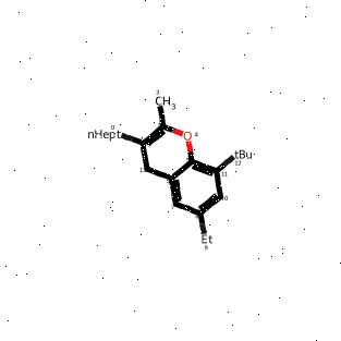 CCCCCCCC1=C(C)Oc2c(cc(CC)cc2C(C)(C)C)C1